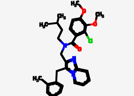 COc1ccc(C(=O)N(CCC(C)C)Cc2nc3ccccn3c2Cc2ccccc2C)c(Cl)c1OC